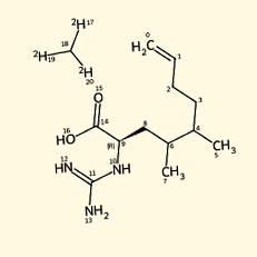 C=CCCC(C)C(C)C[C@@H](NC(=N)N)C(=O)O.[2H]C([2H])[2H]